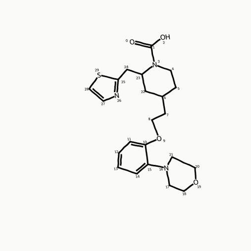 O=C(O)N1CCC(CCOc2ccccc2N2CCOCC2)CC1Cc1nccs1